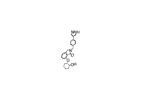 O=C1c2c(cccc2O[C@H]2CCCC[C@@H]2O)CN1Cc1ccc(-c2cn[nH]c2)cc1